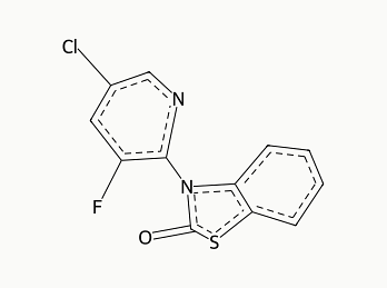 O=c1sc2ccccc2n1-c1ncc(Cl)cc1F